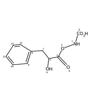 O=C(O)NOC(=O)C(O)Cc1ccccc1